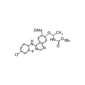 COc1cc2c(Nc3ccc(Cl)cc3F)ncnc2cc1OC(C)NC(=O)OC(C)(C)C